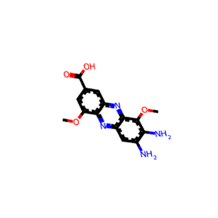 COc1cc(C(=O)O)cc2nc3c(OC)c(N)c(N)cc3nc12